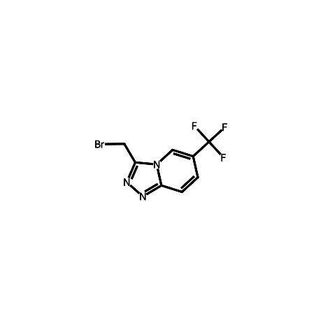 FC(F)(F)c1ccc2nnc(CBr)n2c1